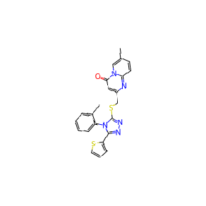 Cc1ccc2nc(CSc3nnc(-c4cccs4)n3-c3ccccc3C)cc(=O)n2c1